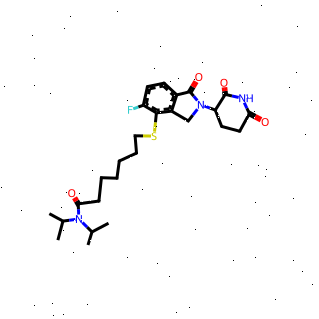 CC(C)N(C(=O)CCCCCCSc1c(F)ccc2c1CN(C1CCC(=O)NC1=O)C2=O)C(C)C